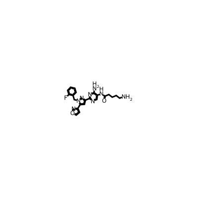 NCCCCC(=O)Nc1cnc(-c2cc(-c3ccon3)n(Cc3ccccc3F)n2)nc1N